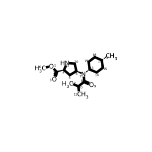 COC(=O)[C@@H]1C[C@H](N(C(=O)C(C)C)[C@H]2CC[C@@H](C)CC2)CN1